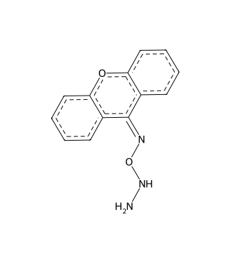 NNON=c1c2ccccc2oc2ccccc12